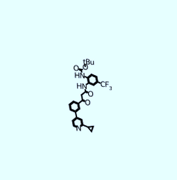 CC(C)(C)OC(=O)Nc1ccc(C(F)(F)F)cc1NC(=O)CC(=O)c1cccc(-c2ccnc(C3CC3)c2)c1